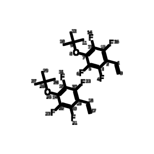 C=Cc1c(F)c(F)c(OC(C)(C)C)c(F)c1F.C=Cc1c(F)c(F)c(OC(C)(C)C)c(F)c1F